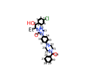 CCC(C(O)c1ccc(Cl)cc1)n1ncn(-c2ccc(N3CCN(C(=O)c4ccccc4)CC3)cc2)c1=O